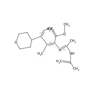 C=C(C)N/C(C)=N/C(C(=C)OC)=C(C)/C(=C\C)C1CCOCC1